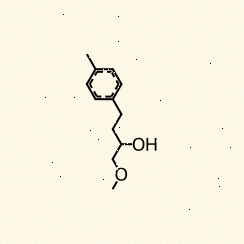 COCC(O)CCc1ccc(C)cc1